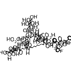 Cc1c(-c2cccc(CCC(=O)NCCCCCCCC(=O)N[C@H](CCC(=O)NC[C@H](O)[C@@H](O)[C@H](O)[C@H](O)CO)C(=O)N[C@H](CCC(=O)O)C(=O)N[C@H](CCC(=O)NC[C@H](O)[C@@H](O)[C@H](O)[C@H](O)CO)C(=O)NCC(N)C(=O)N[C@@H](CC(=O)O)C(=O)N[C@@H](CS)C(=O)O)c2)c(=O)n(C[C@@H](N)c2ccccc2)c(=O)n1Cc1c(F)cccc1F